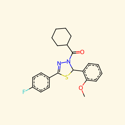 COc1ccccc1C1SC(c2ccc(F)cc2)=NN1C(=O)C1CCCCC1